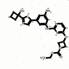 CCOC(=O)N1CC(Oc2ccnc(Nc3cc(N)cc(-c4cnc(C5(O)CCC5)s4)c3)n2)C1